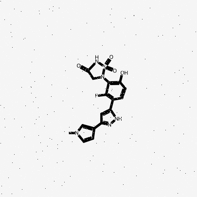 Cn1ccc(-c2cc(-c3ccc(O)c(N4CC(=O)NS4(=O)=O)c3F)[nH]n2)c1